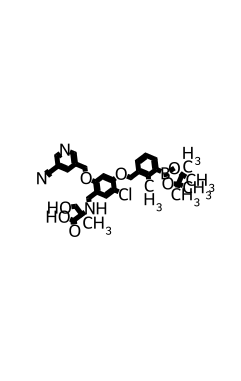 Cc1c(COc2cc(OCc3cncc(C#N)c3)c(CNC(C)(CO)C(=O)O)cc2Cl)cccc1B1OC(C)(C)C(C)(C)O1